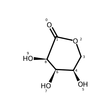 O=C1OC[C@@H](O)[C@@H](O)[C@H]1O